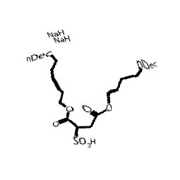 CCCCCCCCCCCCCCOC(=O)CC(C(=O)OCCCCCCCCCCCCCC)S(=O)(=O)O.[NaH].[NaH]